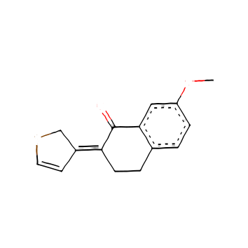 COc1ccc2c(c1)C(=O)C(=C1C=CSC1)CC2